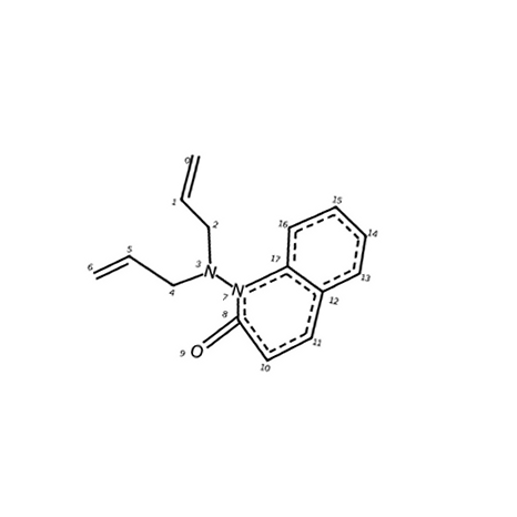 C=CCN(CC=C)n1c(=O)ccc2ccccc21